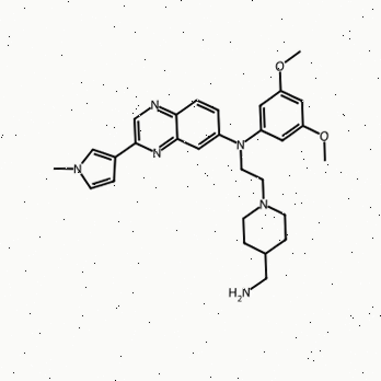 COc1cc(OC)cc(N(CCN2CCC(CN)CC2)c2ccc3ncc(-c4ccn(C)c4)nc3c2)c1